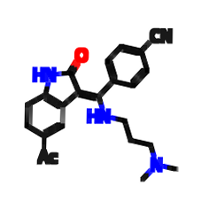 CC(=O)c1ccc2c(c1)C(=C(NCCCN(C)C)c1ccc(C#N)cc1)C(=O)N2